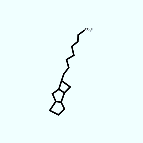 O=C(O)CCCCCCCC1CC2C3CCCC3CC12